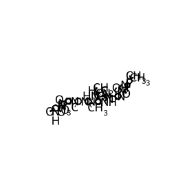 C=CC(=O)Nc1cc(Nc2nc(-c3ccnc(N4CCn5c(cc6c5CC(C)(C)C6)C4=O)c3CO)cn(C)c2=O)ccc1N1CCN(C2CCN(c3ccc4c(c3)C(=O)N(C3CCC(=O)NC3=O)C4=O)[C@H](C)C2)C[C@@H]1C